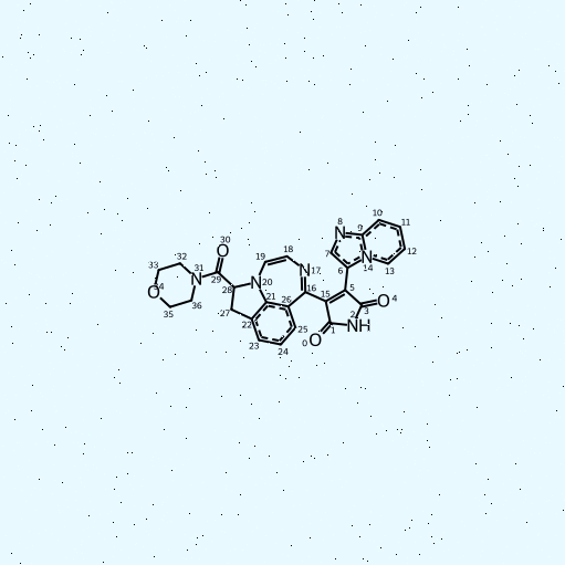 O=C1NC(=O)C(c2cnc3ccccn23)=C1C1=NC=CN2c3c(cccc31)CC2C(=O)N1CCOCC1